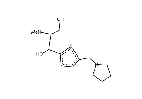 CNC(CO)C(O)c1ccc(CN2CCCC2)s1